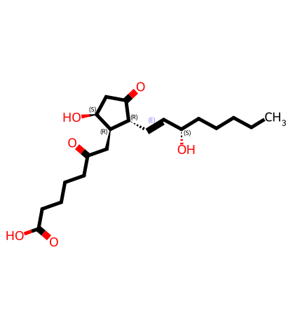 CCCCC[C@H](O)/C=C/[C@H]1C(=O)C[C@H](O)[C@@H]1CC(=O)CCCCC(=O)O